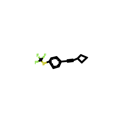 FC(F)(F)Sc1ccc(C#CC2CCC2)cc1